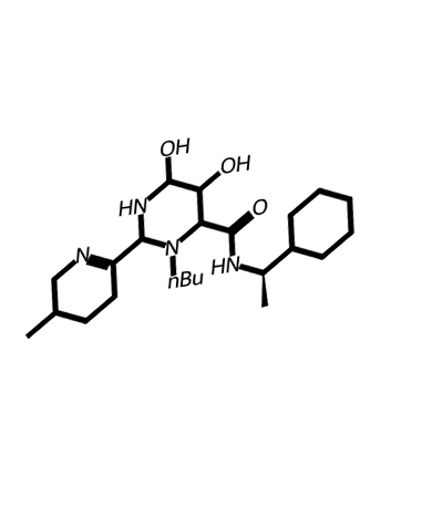 CCCCN1C(C2=NCC(C)CC2)NC(O)C(O)C1C(=O)N[C@H](C)C1CCCCC1